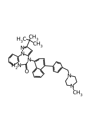 CN1CCN(Cc2ccc(-c3ccc(N(C(N)=O)c4cc(C(C)(C)C)nn4-c4ccccc4)c4ccccc34)cc2)CC1